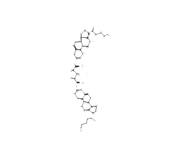 CC(C)CCCC(C)[C@H]1CCC2C3CC=C4C[C@@H](OC(=O)C(O)C(O)C(O)C(=O)O[C@H]5CC[C@@]6(C)C(=CCC7C6CC[C@@]6(C)C7CC[C@@H]6C(C)CCCC(C)C)C5)CC[C@]4(C)C3CC[C@@]21C